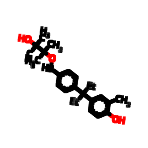 CCC(CC)(c1ccc(BOC(C)(C)C(C)(C)O)cc1)c1ccc(O)c(C)c1